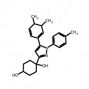 Cc1ccc(-n2nc(C3(O)CCC(O)CC3)cc2C2=CC(C)C(C)C=C2)cc1